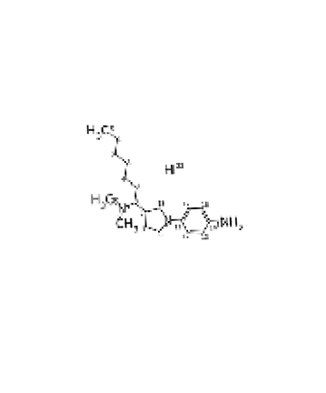 CCCCCCC(C1CCN(c2ccc(N)cc2)C1)N(C)C.I